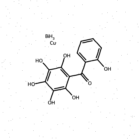 O=C(c1ccccc1O)c1c(O)c(O)c(O)c(O)c1O.[BiH3].[Cu]